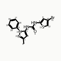 Cc1cc(NC(=O)Nc2cc(Br)cs2)n(-c2ccccc2)n1